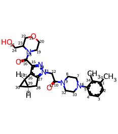 Cc1cccc(N2CCN(C(=O)Cn3nc(C(=O)N4CCOCC4CO)c4c3C[C@H]3C[C@@H]43)CC2)c1C